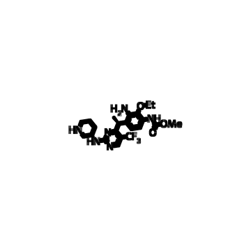 CCOc1c(NC(=O)OC)ccc([C@H](C)c2nc(N[C@H]3CCCNC3)ncc2C(F)(F)F)c1N